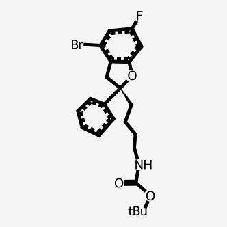 CC(C)(C)OC(=O)NCCCC[C@@]1(c2ccccc2)Cc2c(Br)cc(F)cc2O1